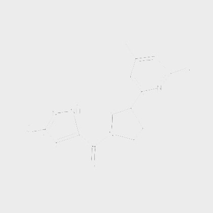 [CH2]c1cc(C)nc(C2CCN(C(=O)c3cc(C(C)C)n[nH]3)C2)c1